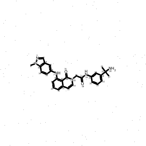 Cn1ncc2cc(Nc3cccc4ccn(CC(=O)Nc5cccc(C(C)(C)N)c5)c(=O)c34)ccc21